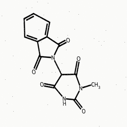 CN1C(=O)NC(=O)C(N2C(=O)c3ccccc3C2=O)C1=O